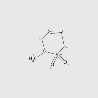 CC1CC=[C]CS1(=O)=O